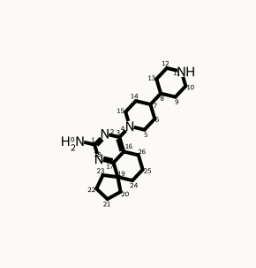 Nc1nc(N2CCC(C3CCNCC3)CC2)c2c(n1)C1(CCCC1)CCC2